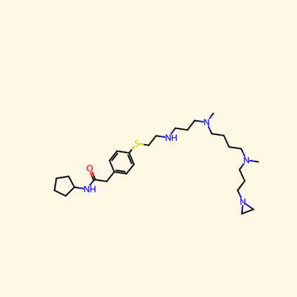 CN(CCCCN(C)CCCN1CC1)CCCNCCSc1ccc(CC(=O)NC2CCCC2)cc1